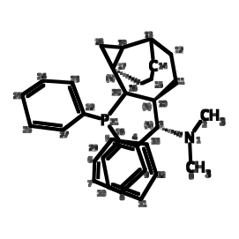 CN(C)[C@H](c1ccccc1)[C@@H]1CCC2CCC[C@@]3(CC23)C1P(c1ccccc1)c1ccccc1